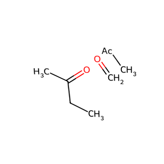 C=O.CC(C)=O.CCC(C)=O